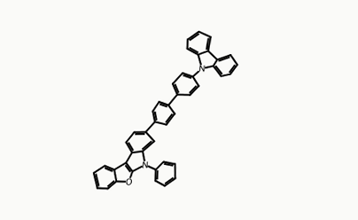 c1ccc(-n2c3cc(-c4ccc(-c5ccc(-n6c7ccccc7c7ccccc76)cc5)cc4)ccc3c3c4ccccc4oc32)cc1